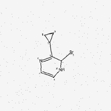 BrC1NC=CN=C1C1CC1